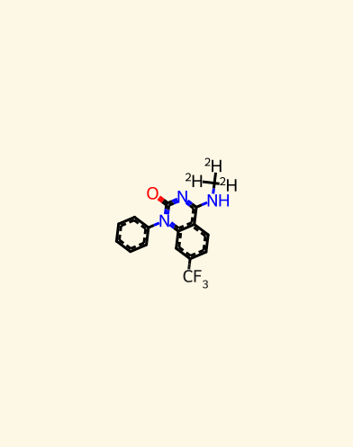 [2H]C([2H])([2H])Nc1nc(=O)n(-c2ccccc2)c2cc(C(F)(F)F)ccc12